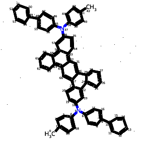 Cc1ccc(N(c2ccc(-c3ccccc3)cc2)c2ccc3c(c2)c2ccccc2c2cc4c5ccc(N(c6ccc(C)cc6)c6ccc(-c7ccccc7)cc6)cc5c5ccccc5c4cc32)cc1